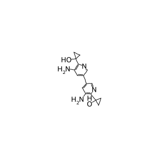 Nc1cc(-c2cnc(C3(O)CC3)c(N)c2)cnc1C1(O)CC1